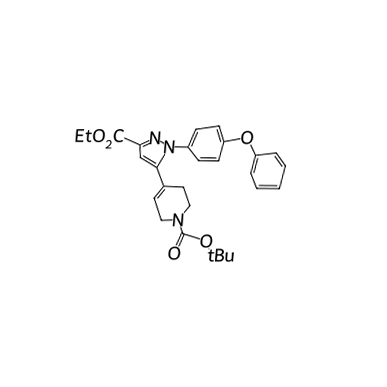 CCOC(=O)c1cc(C2=CCN(C(=O)OC(C)(C)C)CC2)n(-c2ccc(Oc3ccccc3)cc2)n1